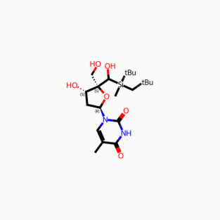 Cc1cn([C@H]2C[C@H](O)[C@@](CO)(C(O)[Si](C)(CC(C)(C)C)C(C)(C)C)O2)c(=O)[nH]c1=O